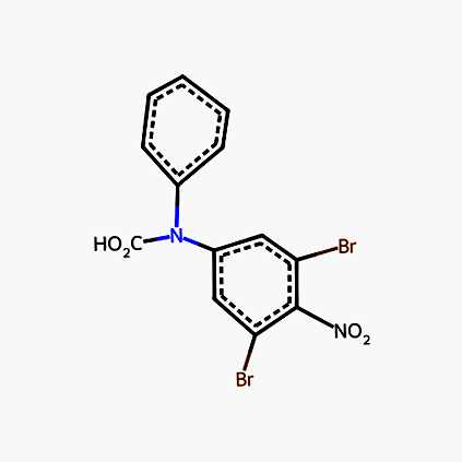 O=C(O)N(c1ccccc1)c1cc(Br)c([N+](=O)[O-])c(Br)c1